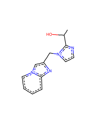 CC(O)c1nccn1Cc1cn2ccccc2n1